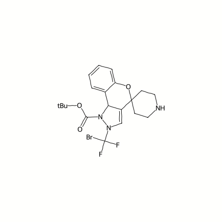 CC(C)(C)OC(=O)N1C2C(=CN1C(F)(F)Br)C1(CCNCC1)Oc1ccccc12